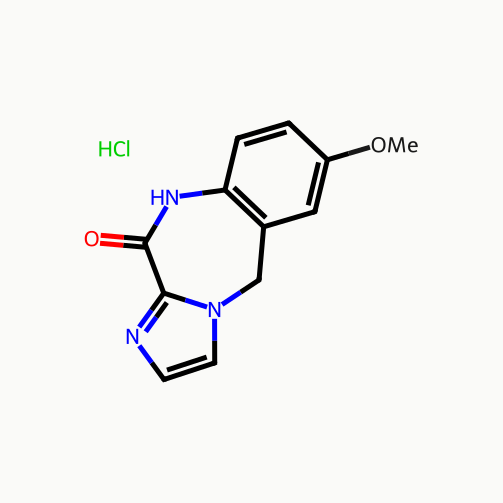 COc1ccc2c(c1)Cn1ccnc1C(=O)N2.Cl